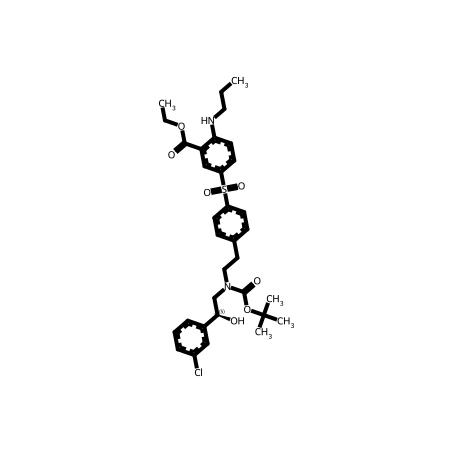 CCCNc1ccc(S(=O)(=O)c2ccc(CCN(C[C@@H](O)c3cccc(Cl)c3)C(=O)OC(C)(C)C)cc2)cc1C(=O)OCC